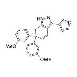 COc1cccc(C2(c3cccc(OC)c3)C=Cc3c(-c4cocn4)n[nH]c3C2)c1